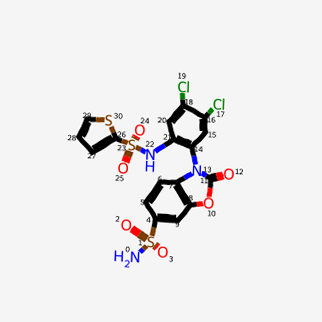 NS(=O)(=O)c1ccc2c(c1)oc(=O)n2-c1cc(Cl)c(Cl)cc1NS(=O)(=O)c1cccs1